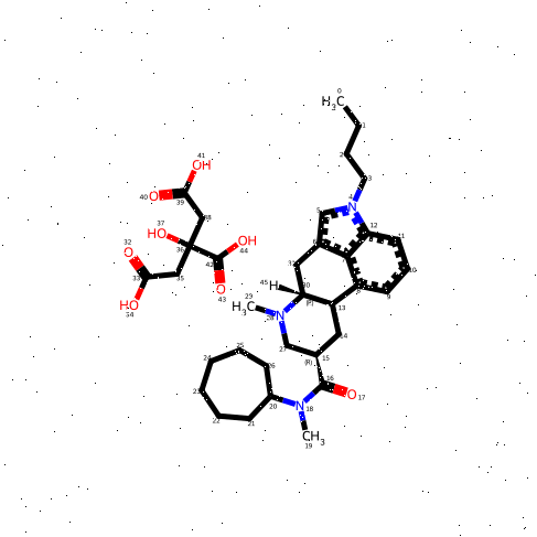 CCCCn1cc2c3c(cccc31)C1C[C@@H](C(=O)N(C)C3CCCCCC3)CN(C)[C@@H]1C2.O=C(O)CC(O)(CC(=O)O)C(=O)O